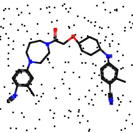 [C-]#[N+]c1ccc(N2CCCN(C(=O)COC3CCC(Nc4ccc(C#N)c(C)c4)CC3)CC2)cc1C